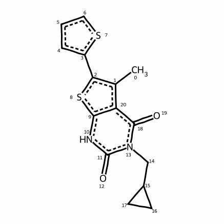 Cc1c(-c2cccs2)sc2[nH]c(=O)n(CC3CC3)c(=O)c12